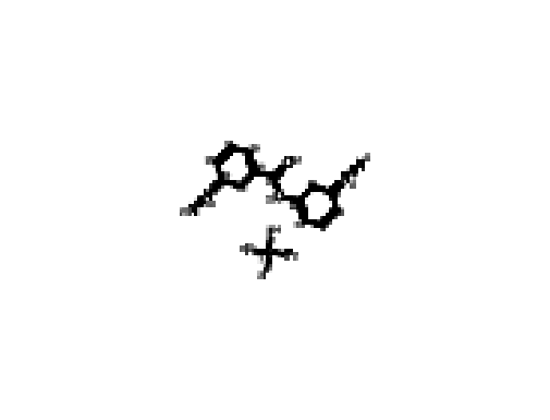 F[B-](F)(F)F.[N-]=[N+]=C1C=CC=C(OC(=O)C2=CC=CC(=[N+]=[N-])C2)C1